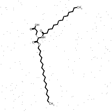 CCCCCCCCCCCCCCCCCCOC(=O)[C@H](CCC(=O)O)NC(=O)CCCCCCCCCCCCC